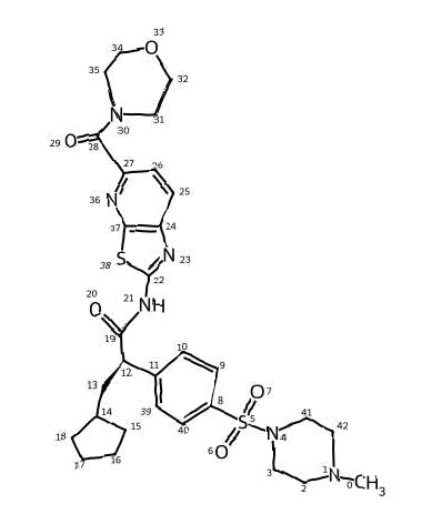 CN1CCN(S(=O)(=O)c2ccc([C@@H](CC3CCCC3)C(=O)Nc3nc4ccc(C(=O)N5CCOCC5)nc4s3)cc2)CC1